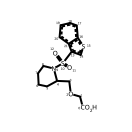 O=C(O)COCC1CCCCN1S(=O)(=O)c1csc2ccccc12